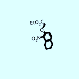 CCOC(=O)COc1ccc2c(c1[N+](=O)[O-])CCCC2